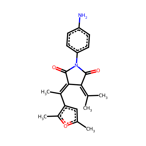 CC(C)=C1C(=O)N(c2ccc(N)cc2)C(=O)/C1=C(\C)c1cc(C)oc1C